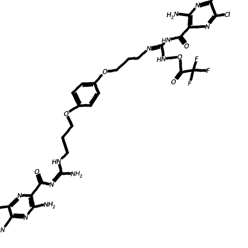 NC(=NC(=O)c1nc(Cl)c(N)nc1N)NCCCOc1ccc(OCCCN=C(NOC(=O)C(F)(F)F)NC(=O)c2nc(Cl)c(N)nc2N)cc1